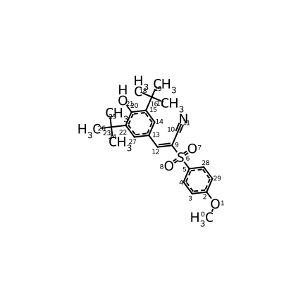 COc1ccc(S(=O)(=O)C(C#N)=Cc2cc(C(C)(C)C)c(O)c(C(C)(C)C)c2)cc1